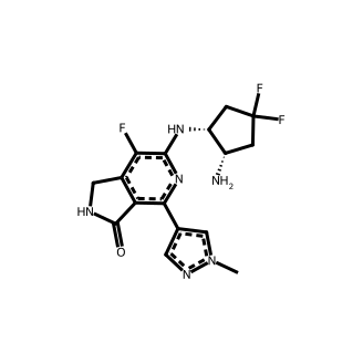 Cn1cc(-c2nc(N[C@@H]3CC(F)(F)C[C@@H]3N)c(F)c3c2C(=O)NC3)cn1